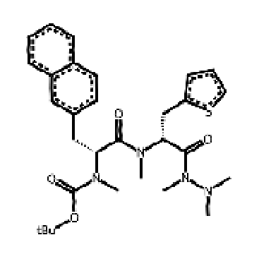 CN(C(=O)OC(C)(C)C)[C@H](Cc1ccc2ccccc2c1)C(=O)N(C)[C@H](Cc1cccs1)C(=O)N(C)N(C)C